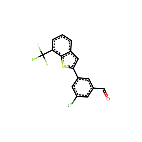 O=Cc1cc(Cl)cc(-c2cc3cccc(C(F)(F)F)c3s2)c1